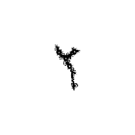 C=CC(=O)OCCCCOCC(COc1ccc(C(=O)Oc2ccc(OC(=O)c3ccc(OCC)cc3)c3sc(C4Cc5c(C)cc(C)cc5O4)nc23)cc1)OC